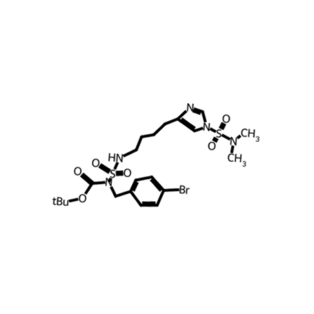 CN(C)S(=O)(=O)n1cnc(CCCCNS(=O)(=O)N(Cc2ccc(Br)cc2)C(=O)OC(C)(C)C)c1